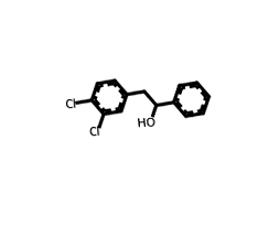 OC(Cc1ccc(Cl)c(Cl)c1)c1ccccc1